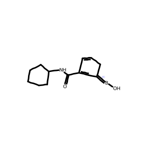 O=C(NC1CCCCC1)C1=C/C(=B/O)CC=C1